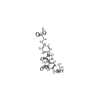 COC(=O)CCc1ccc(N2CC[N+](CC(=O)[O-])(c3ccc4c(c3)CCNC4)C2=O)cc1